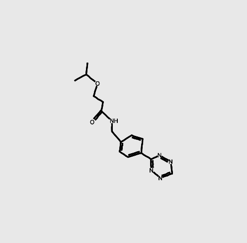 CC(C)OCCC(=O)NCc1ccc(-c2nncnn2)cc1